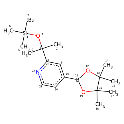 CC(C)(O[Si](C)(C)C(C)(C)C)c1cc(B2OC(C)(C)C(C)(C)O2)ccn1